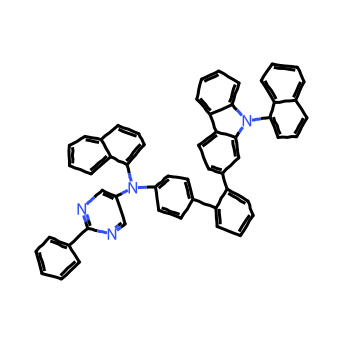 c1ccc(-c2ncc(N(c3ccc(-c4ccccc4-c4ccc5c6ccccc6n(-c6cccc7ccccc67)c5c4)cc3)c3cccc4ccccc34)cn2)cc1